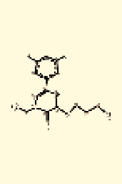 Cc1cc(C)cc(C2=NN(CC(F)(F)F)C(=O)C(SCCCCl)N2)c1